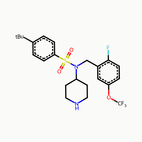 CC(C)(C)c1ccc(S(=O)(=O)N(Cc2cc(OC(F)(F)F)ccc2F)C2CCNCC2)cc1